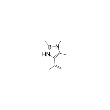 C=C(C)C1=C(C)N(C)B(C)N1